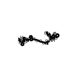 CN[C@@H](C)C(=O)NC(C(=O)N1CCC[C@H]1c1nc(-c2ccc(OCCOCCOCCOCCN(C)C(=O)CCNc3nc(N4CCN(C(C)=O)CC4)c4cc(Cl)c(C5=C(F)C=CCC=C5O)c(F)c4n3)c3ccccc23)cs1)C1CCCCC1